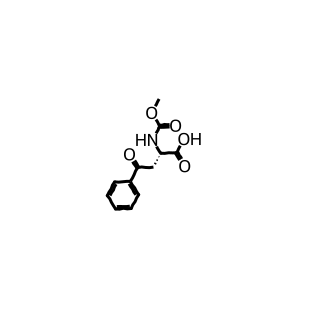 COC(=O)N[C@@H](CC(=O)c1ccccc1)C(=O)O